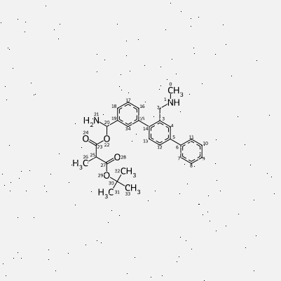 CNCc1cc(-c2ccccc2)ccc1-c1cccc(C(N)OC(=O)C(C)C(=O)OC(C)(C)C)c1